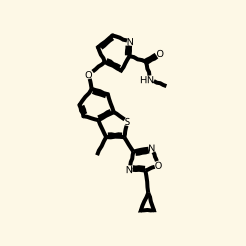 CNC(=O)c1cc(Oc2ccc3c(C)c(-c4noc(C5CC5)n4)sc3c2)ccn1